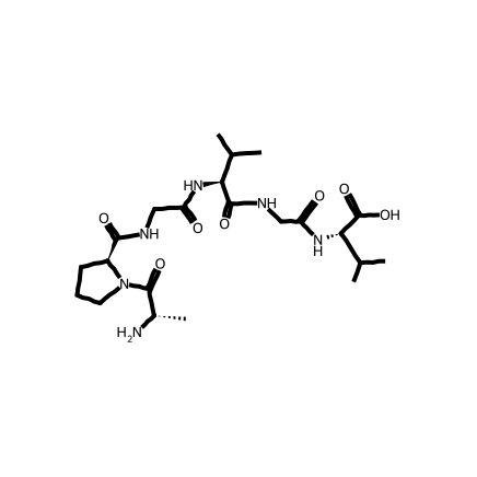 CC(C)[C@H](NC(=O)CNC(=O)[C@@H](NC(=O)CNC(=O)[C@@H]1CCCN1C(=O)[C@H](C)N)C(C)C)C(=O)O